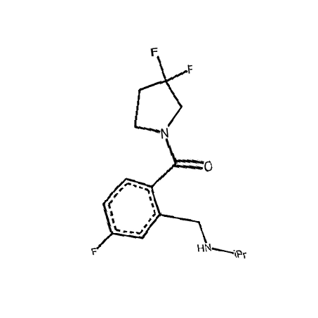 CC(C)NCc1cc(F)ccc1C(=O)N1CCC(F)(F)C1